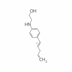 C=CC/C=C/c1ccc(NCCO)cc1